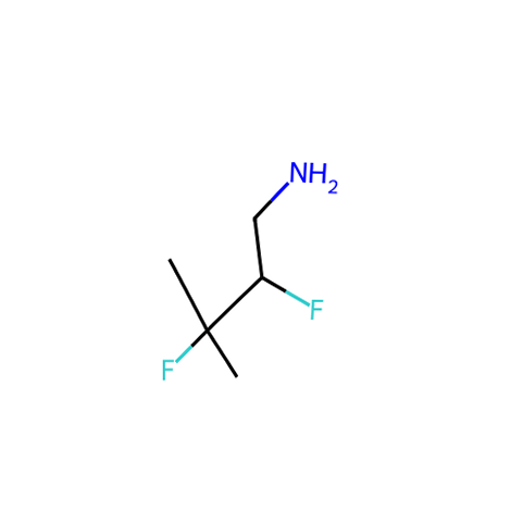 CC(C)(F)C(F)CN